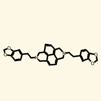 c1cc2c(cc1CCN1Cc3ccc4c5c(ccc(c35)C1)CN(CCc1ccc3c(c1)OCO3)C4)OCO2